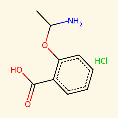 CC(N)Oc1ccccc1C(=O)O.Cl